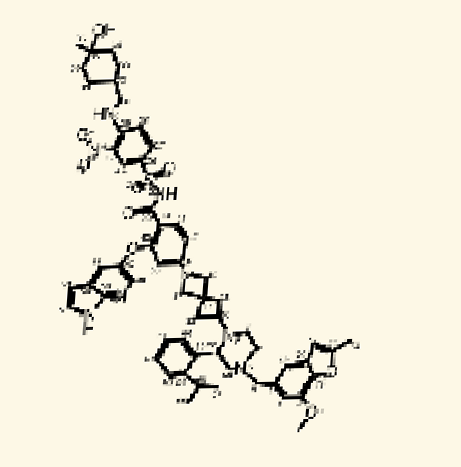 COc1cc(CN2CCN(C3CC4(C3)CN(c3ccc(C(=O)NS(=O)(=O)c5ccc(NCC6CCC(C)(O)CC6)c([N+](=O)[O-])c5)c(Oc5cnc6[nH]ccc6c5)c3)C4)[C@H](c3ccccc3C(C)C)C2)cc2cc(C)oc12